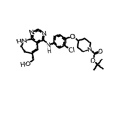 CC(C)(C)OC(=O)N1CCC(Oc2ccc(Nc3ncnc4c3C=C(CO)CCN4)cc2Cl)CC1